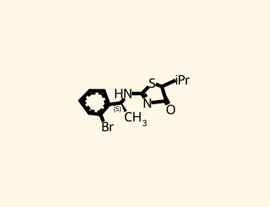 CC(C)C1SC(N[C@@H](C)c2ccccc2Br)=NC1=O